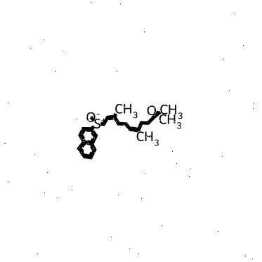 CC(=CC[S+]([O-])c1ccc2ccccc2c1)CCC=C(C)CCC1OC1(C)C